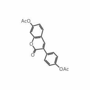 CC(=O)Oc1ccc(-c2cc3ccc(OC(C)=O)cc3oc2=O)cc1